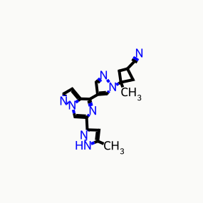 Cc1cc(-c2cn3nccc3c(-c3cnn(C4(C)CC(C#N)C4)c3)n2)n[nH]1